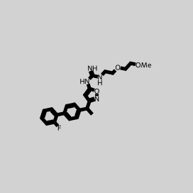 COCCOCCNC(=N)Nc1cc(C(C)c2ccc(-c3ccccc3F)cc2)no1